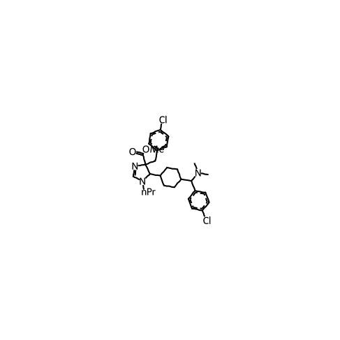 CCCN1C=NC(Cc2ccc(Cl)cc2)(C(=O)OC)C1C1CCC(C(c2ccc(Cl)cc2)N(C)C)CC1